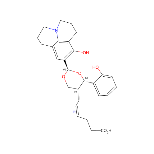 O=C(O)CC/C=C\C[C@@H]1CO[C@@H](c2cc3c4c(c2O)CCCN4CCC3)O[C@@H]1c1ccccc1O